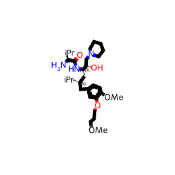 COCCCOc1cc(C[C@@H](C[C@H](NC(=O)[C@@H](N)C(C)C)[C@@H](O)CN2CCCCC2)C(C)C)ccc1OC